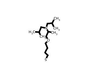 CC(C)CN(CC(C)C)C(C)COCCCC[S]